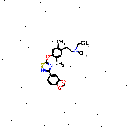 CCN(C)CCc1cc(C)c(Oc2nc(-c3ccc4c(c3)OCO4)ns2)cc1C